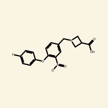 O=C(O)C1CN(Cc2ccc(Oc3ccc(F)cc3)c([N+](=O)[O-])c2)C1